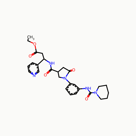 CCOC(=O)CC(NC(=O)C1CC(=O)N(c2cccc(NC(=O)N3CCCCC3)c2)C1)c1cccnc1